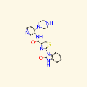 O=C(Nc1cnccc1N1CCNCC1)c1csc(-n2c(=O)[nH]c3ccccc32)n1